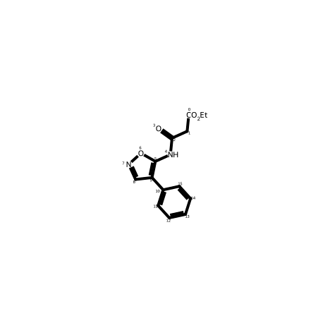 CCOC(=O)CC(=O)Nc1oncc1-c1ccccc1